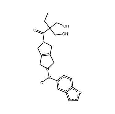 CCC(CO)(CO)C(=O)N1CC2=C(C1)CN([S+]([O-])c1ccc3occc3c1)C2